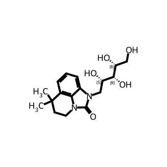 CC1(C)CCn2c(=O)n(C[C@H](O)[C@@H](O)[C@H](O)CO)c3cccc1c32